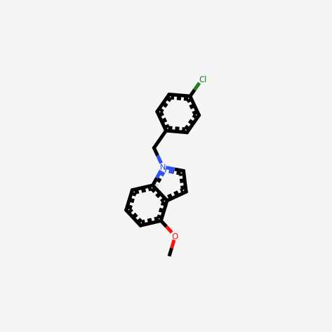 COc1cccc2c1ccn2Cc1ccc(Cl)cc1